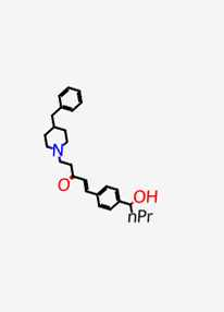 CCCC(O)c1ccc(/C=C/C(=O)CCN2CCC(Cc3ccccc3)CC2)cc1